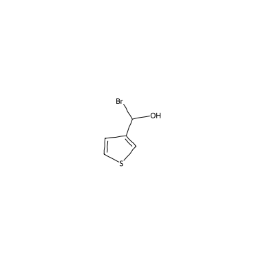 OC(Br)c1ccsc1